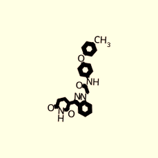 Cc1ccc(Oc2ccc(NC(=O)Cn3nc(C4CCC(=O)NC4=O)c4ccccc43)cc2)cc1